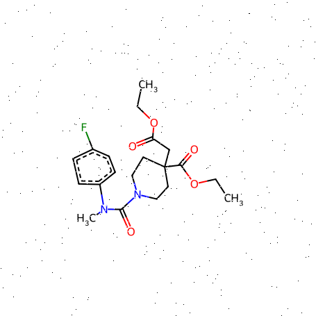 CCOC(=O)CC1(C(=O)OCC)CCN(C(=O)N(C)c2ccc(F)cc2)CC1